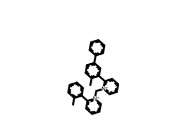 Cc1ccccc1-c1cccc[n+]1C[n+]1ccccc1-c1cc(-c2ccccc2)ccc1C